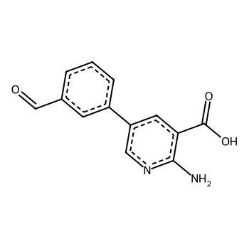 Nc1ncc(-c2cccc(C=O)c2)cc1C(=O)O